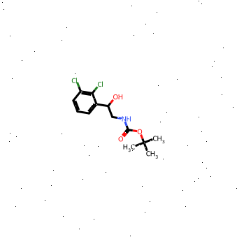 CC(C)(C)OC(=O)NCC(O)c1cccc(Cl)c1Cl